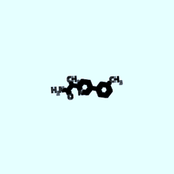 Cc1cccc(-c2ccc(C(C)C(N)=O)nc2)c1